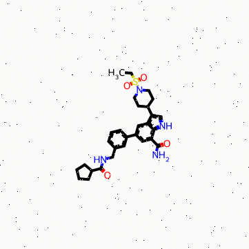 CCS(=O)(=O)N1CCC(c2c[nH]c3c(C(N)=O)cc(-c4cccc(CNC(=O)C5CCCC5)c4)cc23)CC1